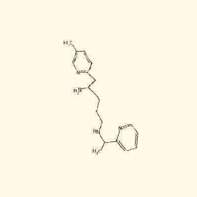 Cc1ccc(CC(N)CCCNC(C)c2ccccn2)nc1